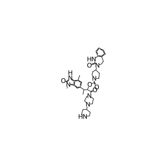 Cc1cc(C(C)C(OC(=O)N2CCC(N3CCc4ccccc4NC3=O)CC2)C(=O)N2CCN(C3CCNCC3)CC2)cc2c1[nH]c(=O)n2C